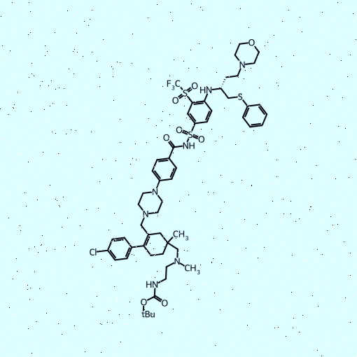 CN(CCNC(=O)OC(C)(C)C)CC1(C)CCC(c2ccc(Cl)cc2)=C(CN2CCN(c3ccc(C(=O)NS(=O)(=O)c4ccc(N[C@H](CCN5CCOCC5)CSc5ccccc5)c(S(=O)(=O)C(F)(F)F)c4)cc3)CC2)C1